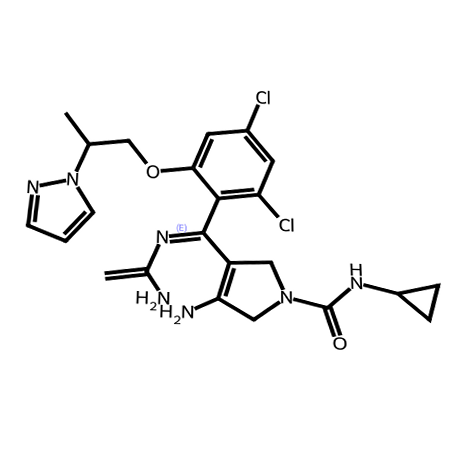 C=C(N)/N=C(\C1=C(N)CN(C(=O)NC2CC2)C1)c1c(Cl)cc(Cl)cc1OCC(C)n1cccn1